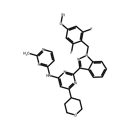 CCOc1cc(F)c(Cn2nc(-c3nc(Nc4ccnc(C)n4)cc(C4CCOCC4)n3)c3ccccc32)c(F)c1